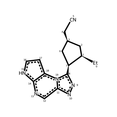 CC[C@@H]1C[C@H](CC#N)C[C@@H]1c1nnc2cnc3[nH]ccc3n12